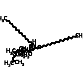 CCCCCCCCCCCCCCCCCCOCC(COC(=O)NCC(C)(C)C(C)(C)CC(C)(C)OCCC(C)C)NC(=O)CCCCCCCCCCCCCCCCC